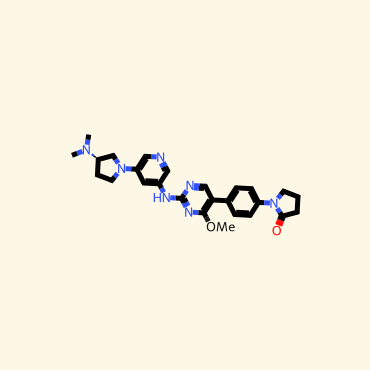 COc1nc(Nc2cncc(N3CC[C@H](N(C)C)C3)c2)ncc1-c1ccc(N2CCCC2=O)cc1